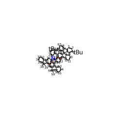 CC(C)(C)c1ccc2c(c1)C1(c3ccccc3-c3ccc(-c4ccccc4N(c4ccc5c(c4)-c4ccccc4C5(C)C)c4ccccc4-c4cccc5c4-c4ccccc4C5(C)C)cc31)c1cc(C(C)(C)C)ccc1-2